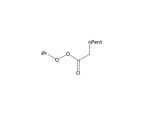 CCCCCCC(=O)OOC(C)C